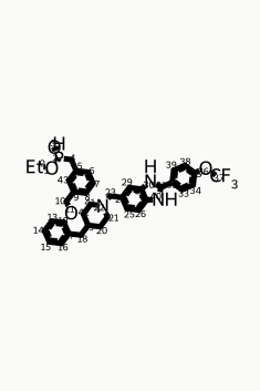 CCO[PH](=O)Cc1cccc(COc2ccccc2CC2CCN(Cc3ccc4c(c3)NC(c3ccc(OC(F)(F)F)cc3)N4)CC2)c1